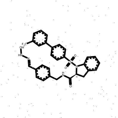 O=C(NCc1ccc(C=NNO)cc1)[C@@H]1Cc2ccccc2N1S(=O)(=O)c1ccc(-c2cccc(C(F)(F)F)c2)cc1